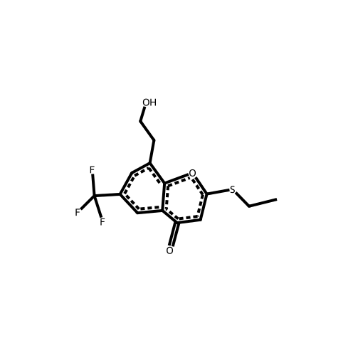 CCSc1cc(=O)c2cc(C(F)(F)F)cc(CCO)c2o1